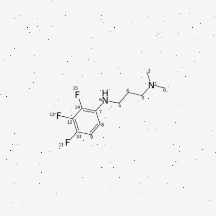 CN(C)CCCNc1ccc(F)c(F)c1F